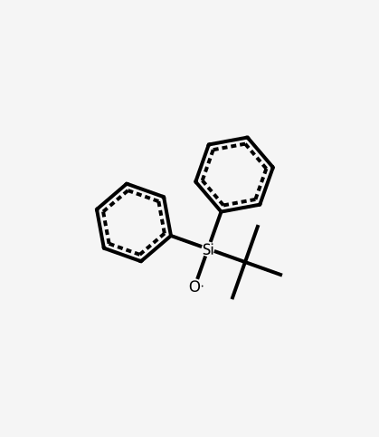 CC(C)(C)[Si]([O])(c1ccccc1)c1ccccc1